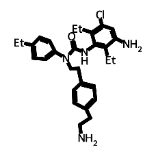 CCc1ccc(N(CCc2ccc(CCN)cc2)C(=O)Nc2c(CC)c(N)cc(Cl)c2CC)cc1